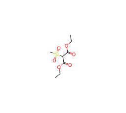 CCOC(=O)C(C(=O)OCC)S(C)(=O)=O